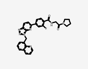 O=C(NCC(=O)N1CCCC1)c1ccc(-c2ccc3nnn(Cc4cccc5cccnc45)c3n2)cc1F